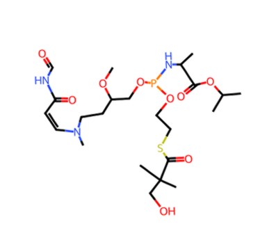 COC(CCN(C)/C=C\C(=O)NC=O)COP(NC(C)C(=O)OC(C)C)OCCSC(=O)C(C)(C)CO